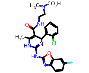 CC1=C(C(=O)NCCN(C)C(=O)O)C(c2ccccc2Cl)N=C(Nc2nc3ccc(F)cc3o2)N1